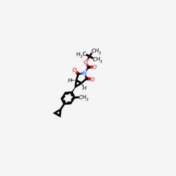 Cc1cc(C2CC2)ccc1[C@@H]1[C@@H]2C(=O)N(C(=O)OC(C)(C)C)C(=O)[C@@H]21